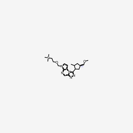 CO/C=C1\CC(C)C(c2nnc3cnc4c(ccn4COCC[Si](C)(C)C)n23)C1